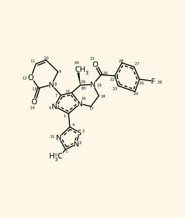 Cc1nsc(-c2nc(N3CC=COC3=O)c3n2CCN(C(=O)c2ccc(F)cc2)[C@@H]3C)n1